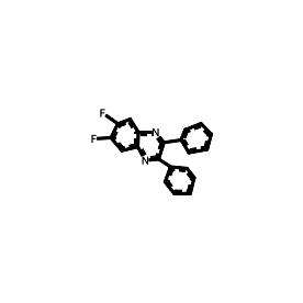 Fc1cc2nc(-c3ccccc3)c(-c3ccccc3)nc2cc1F